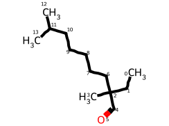 CCC(C)(C=O)CCCCCC(C)C